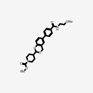 COCCNC(=O)c1ccc(-c2ccc3c(c2)COC(C2CCN(C(=O)OC(C)(C)C)CC2)O3)cc1